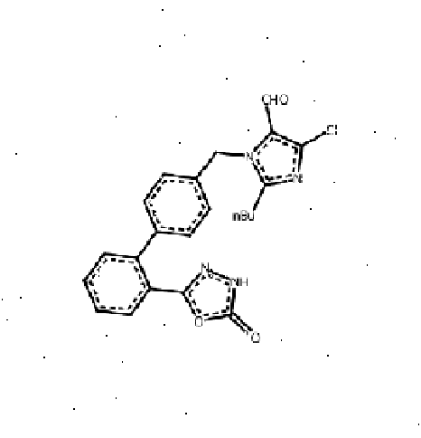 CCCCc1nc(Cl)c(C=O)n1Cc1ccc(-c2ccccc2-c2n[nH]c(=O)o2)cc1